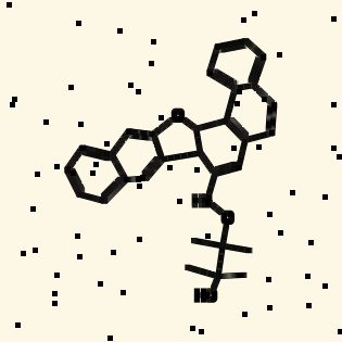 CC(C)(O)C(C)(C)OBC1=Cc2ccc3ccccc3c2C2Oc3cc4ccccc4cc3C12